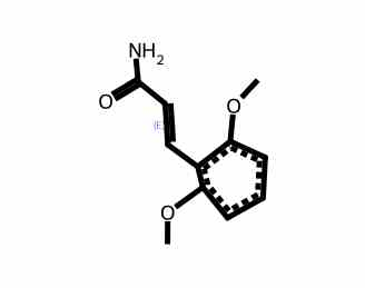 COc1cccc(OC)c1/C=C/C(N)=O